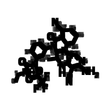 CCNC(=O)N(OC(=O)C(F)(F)F)c1cccc(-n2c(C(C)Nc3ncnc(N)c3C#N)nc3cccc(C#N)c3c2=O)c1